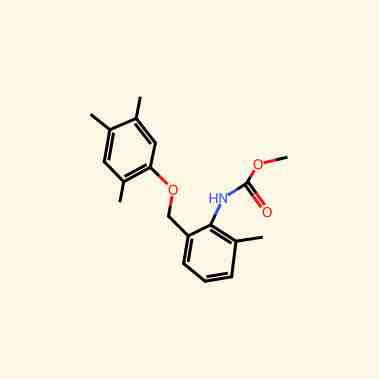 COC(=O)Nc1c(C)cccc1COc1cc(C)c(C)cc1C